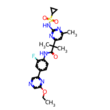 CCOc1cncc(-c2ccc(NC(=O)C(C)(C)c3cc(C)nc(NS(=O)(=O)C4CC4)n3)c(F)c2)n1